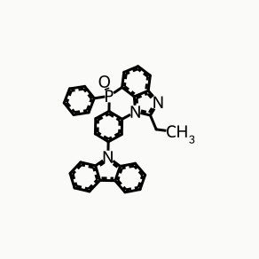 CCc1nc2cccc3c2n1-c1cc(-n2c4ccccc4c4ccccc42)ccc1P3(=O)c1ccccc1